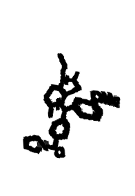 C=CCN1C(C)CCC2C1CCC(C)N2C(c1ccc(C(=O)N2CCCC2)cc1)c1cccc(OC)c1